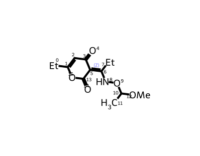 CCC1=CC(=O)/C(=C(\CC)NOC(C)OC)C(=O)O1